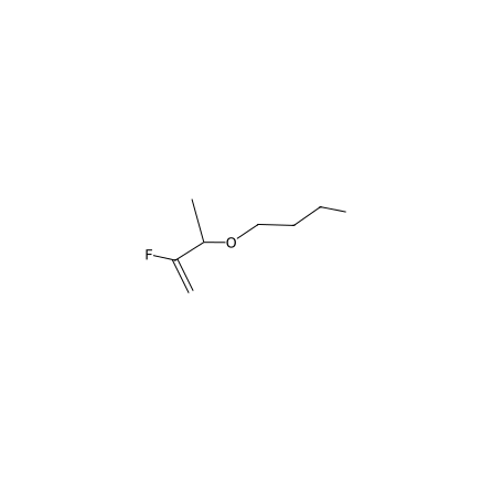 C=C(F)C(C)OCCCC